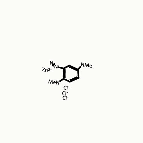 CNc1ccc(NC)c([N+]#N)c1.[Cl-].[Cl-].[Cl-].[Zn+2]